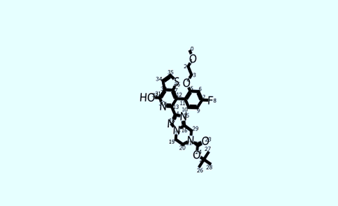 COCCOc1cc(F)ccc1-c1c(-c2nc3n(n2)CCN(C(=O)OC(C)(C)C)C3)nc(O)c2ccsc12